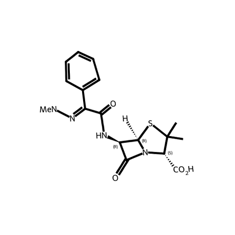 CNN=C(C(=O)N[C@@H]1C(=O)N2[C@@H]1SC(C)(C)[C@@H]2C(=O)O)c1ccccc1